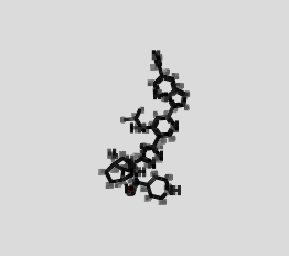 CC(C)Nc1cc(-c2ccc3cc(C#N)cnn23)ncc1-c1nnc(N2C[C@H]3CC[C@@H](C2)[C@H]3NC(=O)C2CCNCC2)s1